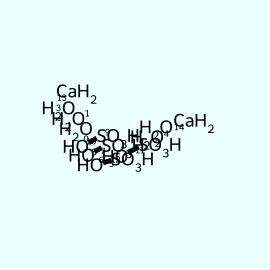 O.O.O.O.O.O=S(=O)(O)O.O=S(=O)(O)O.O=S(=O)(O)O.O=S(=O)(O)O.[CaH2].[CaH2]